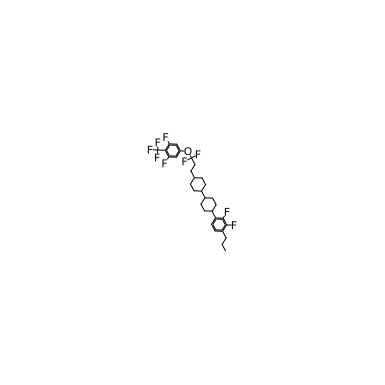 CCCc1ccc(C2CCC(C3CCC(CCC(F)(F)Oc4cc(F)c(C(F)(F)F)c(F)c4)CC3)CC2)c(F)c1F